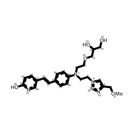 COCc1cn(CCN(CCOCC(O)CO)c2ccc(/C=C/c3ccc(O)nc3)cc2)nn1